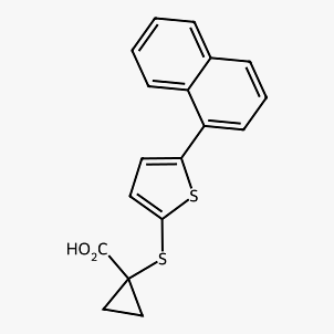 O=C(O)C1(Sc2ccc(-c3cccc4ccccc34)s2)CC1